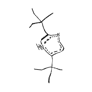 CC(C)(C)c1cnc(C(C)(C)C)[nH]1